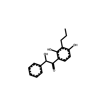 CCCc1c(O)ccc(C(=O)C(O)c2ccccc2)c1O